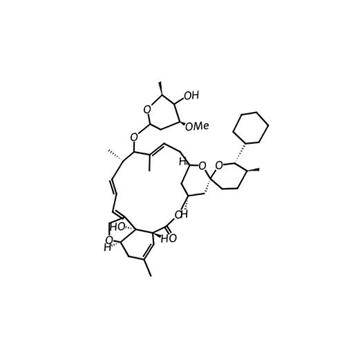 CO[C@H]1CC(OC2/C(C)=C/C[C@@H]3C[C@@H](C[C@]4(CC[C@H](C)[C@@H](C5CCCCC5)O4)O3)OC(=O)[C@@H]3C=C(C)C[C@H]4OC/C(=C\C=C\[C@@H]2C)[C@]43O)O[C@@H](C)C1O